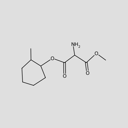 COC(=O)C(N)C(=O)OC1CCCCC1C